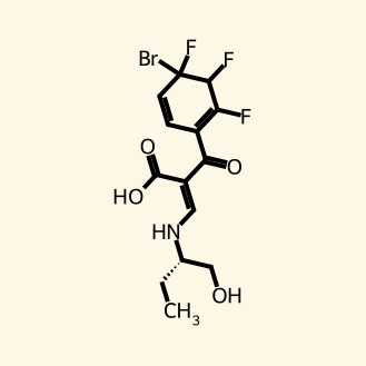 CC[C@@H](CO)NC=C(C(=O)O)C(=O)C1=C(F)C(F)C(F)(Br)C=C1